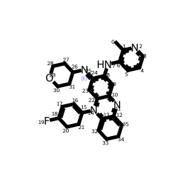 Cc1ncccc1Nc1cc2nc3c(n(C4=CC=C(F)CC4)c-2c/c1=N\C1CCOCC1)=CCCC=3